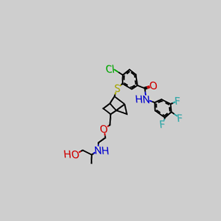 CC(CO)NCCOCC1CC2C(Sc3cc(C(=O)Nc4cc(F)c(F)c(F)c4)ccc3Cl)C3CC123